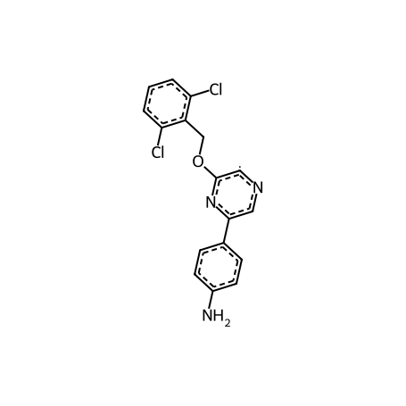 Nc1ccc(-c2cn[c]c(OCc3c(Cl)cccc3Cl)n2)cc1